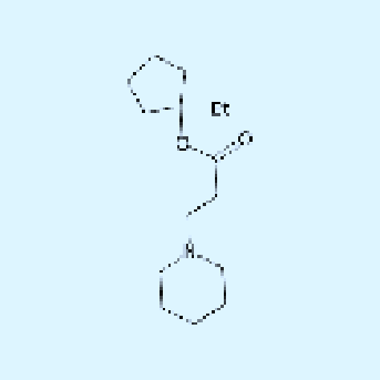 CCC1(OC(=O)CCN2CCCCC2)CCCC1